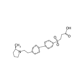 C[C@@H]1CCCN1CCc1ccc(-c2ccc(S(=O)(=O)CCC(=O)O)cc2)cc1